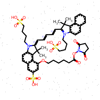 CC1(C)C(/C=C/C=C/C=C2/N(CCCCS(=O)(=O)O)c3ccc4cc(S(=O)(=O)O)cc(OCCCCCC(=O)ON5C(=O)CCC5=O)c4c3C2(C)C)=[N+](CCCCS(=O)(=O)O)c2ccc3ccccc3c21